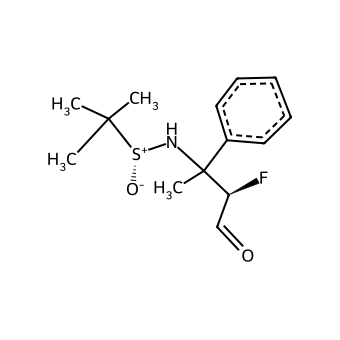 CC(N[S@+]([O-])C(C)(C)C)(c1ccccc1)[C@@H](F)C=O